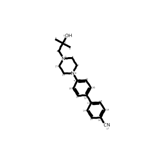 CC(C)(O)CN1CCN(c2ccc(-c3ccc(C#N)cc3)cc2)CC1